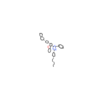 C=C/C=C\C=C/Cc1ccc(-c2nc(-c3ccccc3)nc(-c3ccc(-c4ccc(-c5ccc6ccccc6c5)cc4)c4oc5ccccc5c34)n2)cc1